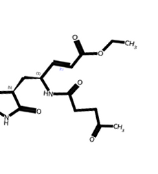 CCOC(=O)/C=C/[C@H](C[C@@H]1CCNC1=O)NC(=O)CCC(C)=O